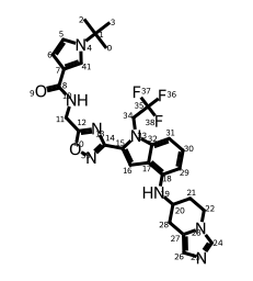 CC(C)(C)n1ccc(C(=O)NCc2nc(-c3cc4c(NC5CCn6cncc6C5)cccc4n3CC(F)(F)F)no2)c1